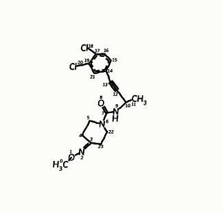 CON=C1CCN(C(=O)NC(C)C#Cc2ccc(Cl)c(Cl)c2)CC1